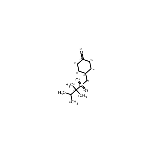 CC(C)C(C)(C)S(=O)(=O)CC1CCC(=O)CC1